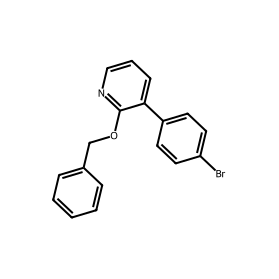 Brc1ccc(-c2cccnc2OCc2ccccc2)cc1